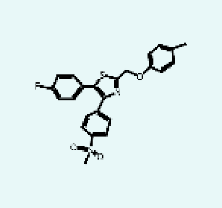 Cc1ccc(OCc2nc(-c3ccc(S(C)(=O)=O)cc3)c(-c3ccc(F)cc3)s2)cc1